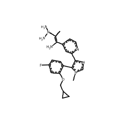 BN(N)/C(C)=C(\N)c1ccnc(-c2ncn(C)c2-c2ccc(F)cc2OCC2CC2)c1